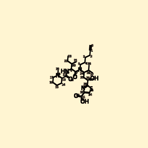 C#CCCCCN(C(=O)C(NC(=O)[C@H]1CCCCN1C)C(C)CC)C(CC(O)c1nc(C(=O)O)cs1)C(C)C